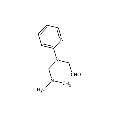 CN(C)CN(CC=O)c1ccccn1